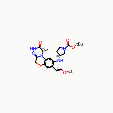 CCO/C=C/c1cc2c(cc1N[C@@H]1CCN(C(=O)OC(C)(C)C)C1)N1C(=NNC(=O)[C@H]1C)CO2